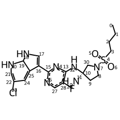 CCCCS(=O)(=O)N1CC[C@@](N)(Nc2nc(C3=CNC4NC=C(Cl)C=C34)ncc2F)C1